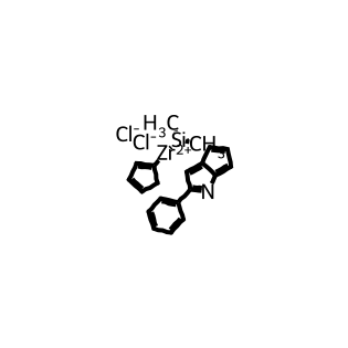 C1=CC2=CC(c3ccccc3)=NC2=C1.C[Si](C)[Zr+2][C]1=CC=CC1.[Cl-].[Cl-]